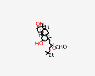 CCC(C)(C)CC[C@@](C)(CC[C@]1(C)C[C@H](O)C[C@@H]2[C@@]3(C)CC[C@H](O)C(C)(C)[C@@H]3CC[C@]21C)OC=O